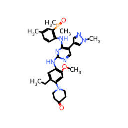 CCc1cc(Nc2ncc(-c3cnn(C)c3)c(Nc3ccc(C)cc3P(C)(C)=O)n2)c(OC)cc1N1CCC(=O)CC1